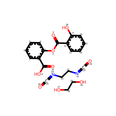 O=C(Oc1ccccc1C(=O)O)c1ccccc1O.O=C=NCCN=C=O.OCCO